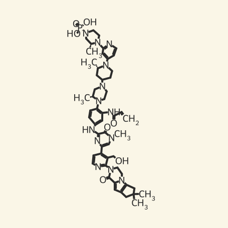 C=CC(=O)Nc1cc(Nc2nc(-c3ccnc(N4CCn5c(cc6c5CC(C)(C)C6)C4=O)c3CO)cn(C)c2=O)ccc1N1CCN(C2CCN(c3ccnc(N4CCN(P(=O)(O)O)C[C@@H]4C)c3)[C@@H](C)C2)C[C@@H]1C